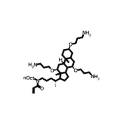 C=CC(=O)N(CCCCCCCC)CCC[C@@H](C)C1CCC2C3[C@H](OCCCN)CC4C[C@H](OCCCN)CCC4(C)[C@H]3C[C@H](OCCCN)C21C